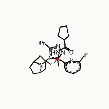 Cc1nnc(C(C)C)n1C1CC2CCC(C1)N2CC[C@H](NC(=O)C1CCCC1)c1cccc(F)n1